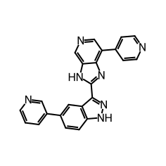 c1cncc(-c2ccc3[nH]nc(-c4nc5c(-c6ccncc6)cncc5[nH]4)c3c2)c1